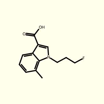 Cc1cccc2c(C(=O)O)cn(CCCF)c12